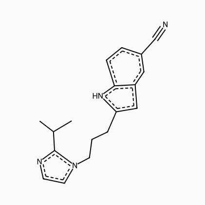 CC(C)c1nccn1CCCc1cc2cc(C#N)ccc2[nH]1